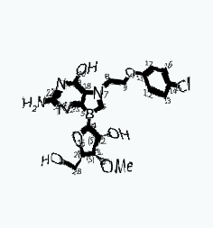 CO[C@H]1[C@@H](O)[C@H](B2CN(CCOc3ccc(Cl)cc3)c3c(O)nc(N)nc32)O[C@@H]1CO